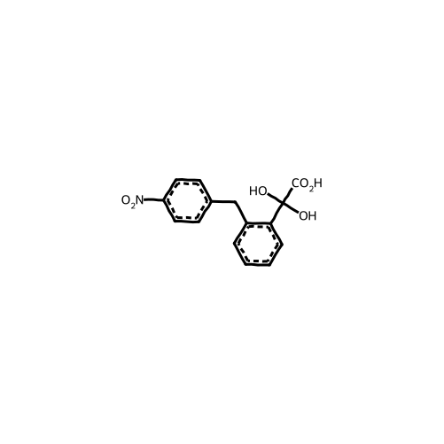 O=C(O)C(O)(O)c1ccccc1Cc1ccc([N+](=O)[O-])cc1